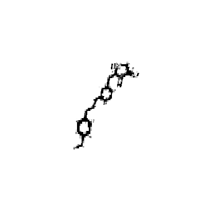 CCc1ccc(CCCc2cccc(CC3NCC(=O)N3)c2)cc1